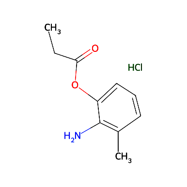 CCC(=O)Oc1cccc(C)c1N.Cl